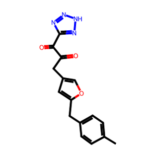 Cc1ccc(Cc2cc(CC(=O)C(=O)c3nn[nH]n3)co2)cc1